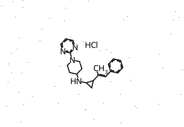 C/C(=C\c1ccccc1)C1CC1NC1CCN(c2ncccn2)CC1.Cl